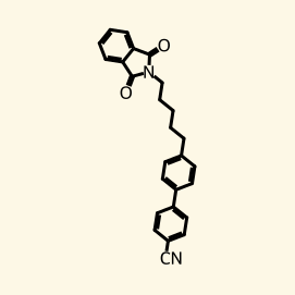 N#Cc1ccc(-c2ccc(CCCCCN3C(=O)c4ccccc4C3=O)cc2)cc1